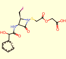 O=C(O)COC(=O)CSN1C(=O)[C@@H](NC(=O)C(O)c2ccccc2)[C@H]1CI